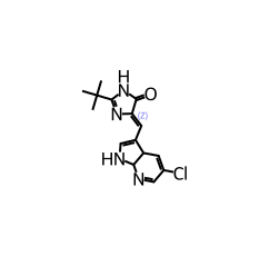 CC(C)(C)C1=N/C(=C\C2=CNC3N=CC(Cl)=CC23)C(=O)N1